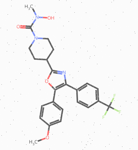 COc1ccc(-c2oc(C3CCN(C(=O)N(C)O)CC3)nc2-c2ccc(C(F)(F)F)cc2)cc1